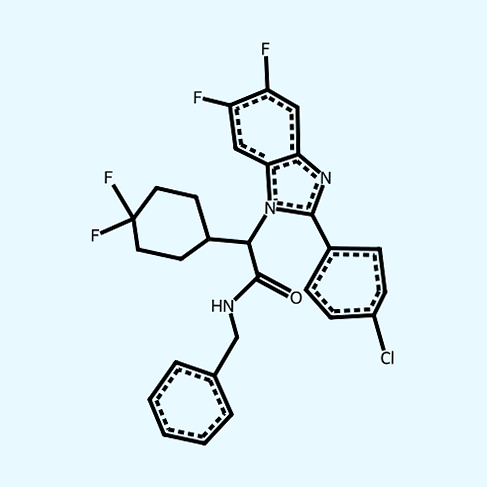 O=C(NCc1ccccc1)C(C1CCC(F)(F)CC1)n1c(-c2ccc(Cl)cc2)nc2cc(F)c(F)cc21